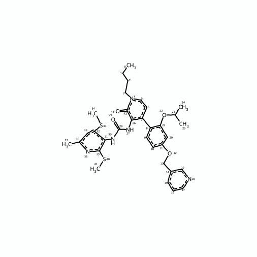 CCCCn1ccc(-c2ccc(OCc3cccnc3)cc2OC(C)C)c(NC(=O)Nc2c(SC)cc(C)nc2SC)c1=O